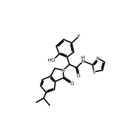 CC(C)c1ccc2c(c1)C(=O)N(C(C(=O)Nc1nccs1)c1cc(F)ccc1O)C2